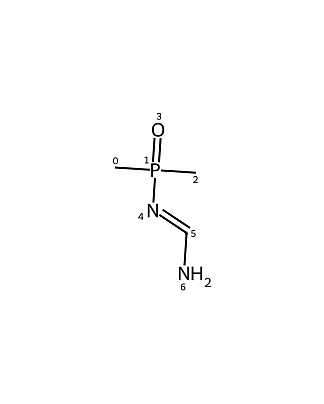 CP(C)(=O)N=CN